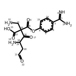 N=C(N)c1ccc(OC(=O)C(CN)(C(=O)O)C(=O)C(N)CC=O)cc1